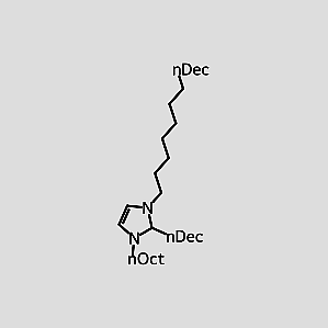 CCCCCCCCCCCCCCCCCN1C=CN(CCCCCCCC)C1CCCCCCCCCC